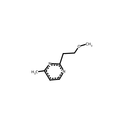 COCCc1nc[c]c(C)n1